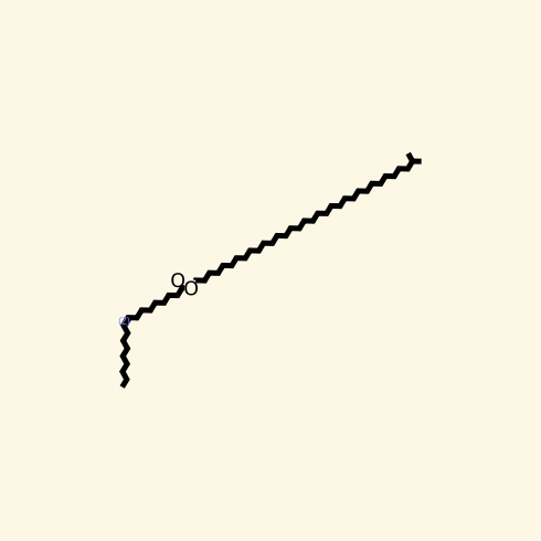 CCCCCCCC/C=C\CCCCCCCC(=O)OCCCCCCCCCCCCCCCCCCCCCCCCCCCCCCCCC(C)C